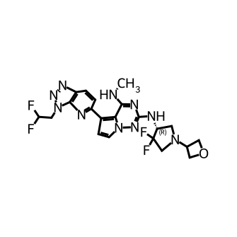 CNc1nc(N[C@@H]2CN(C3COC3)CC2(F)F)nn2ccc(-c3ccc4nnn(CC(F)F)c4n3)c12